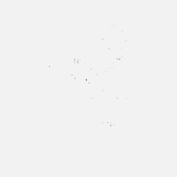 c1ccc(-n2c3ccc4ccc5ccc6c7c5c4c3c3c4c(ccc32)ccc(c47)n6-c2nc3ccccc3nc2-c2ccc3oc4ccccc4c3c2)cc1